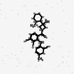 CC1=CC=C(Nc2c(C(=O)N3CC(O)(C4CCCCN4C)C3)ccc(F)c2F)C(F)C1